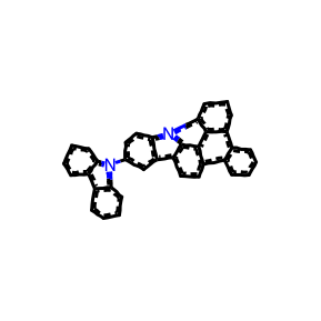 c1ccc2c(c1)c1cccc3c1c1c2ccc2c4cc(-n5c6ccccc6c6ccccc65)ccc4n3c21